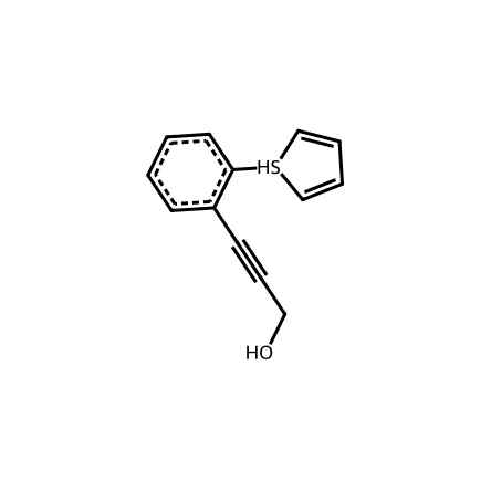 OCC#Cc1ccccc1[SH]1C=CC=C1